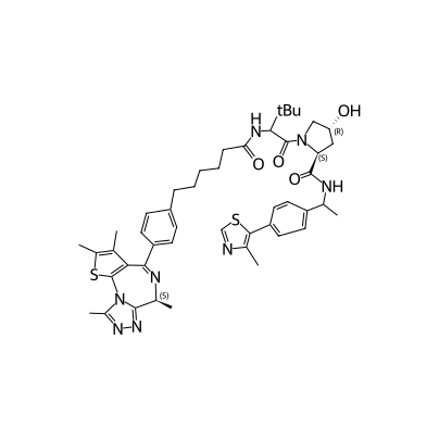 Cc1ncsc1-c1ccc(C(C)NC(=O)[C@@H]2C[C@@H](O)CN2C(=O)C(NC(=O)CCCCCc2ccc(C3=N[C@@H](C)c4nnc(C)n4-c4sc(C)c(C)c43)cc2)C(C)(C)C)cc1